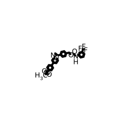 CS(=O)(=O)c1ccc(-c2ccn3c(-c4ccc(COC(=O)Nc5cccc(C(F)(F)F)c5)cc4)cnc3c2)cc1